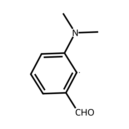 CN(C)c1[c]c(C=O)ccc1